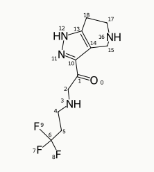 O=C(CNCCC(F)(F)F)c1n[nH]c2c1CNCC2